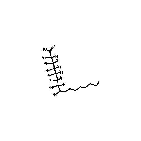 [2H]C(CCCCCCCC)C([2H])([2H])C([2H])([2H])C([2H])([2H])C([2H])([2H])C([2H])([2H])C([2H])([2H])C(=O)O